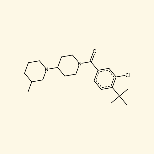 CC1CCCN(C2CCN(C(=O)c3ccc(C(C)(C)C)c(Cl)c3)CC2)C1